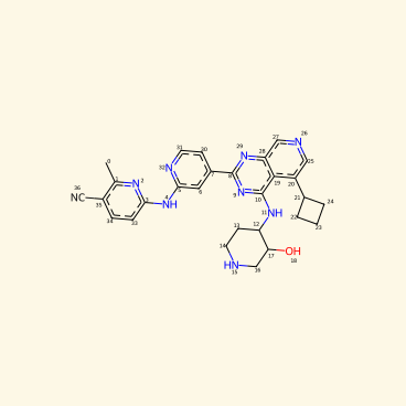 Cc1nc(Nc2cc(-c3nc(NC4CCNCC4O)c4c(C5CCC5)cncc4n3)ccn2)ccc1C#N